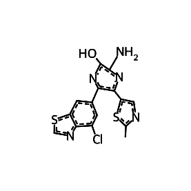 Cc1ncc(-c2nc(N)c(O)nc2-c2cc(Cl)c3ncsc3c2)s1